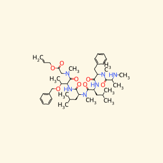 C=CCOC(=O)CN(C)C(=O)[C@@H](NC(=O)[C@H](CC(C)C)N(C)C(=O)[C@H](CC(C)C)NC(=O)C(Cc1ccccc1)N(C)C(=O)C(C)NC)C(C)OCc1ccccc1